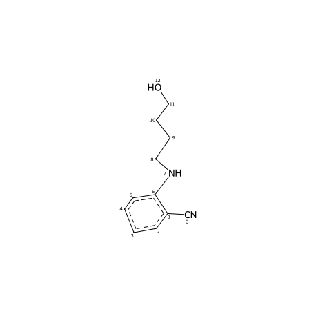 N#Cc1ccccc1NCCCCO